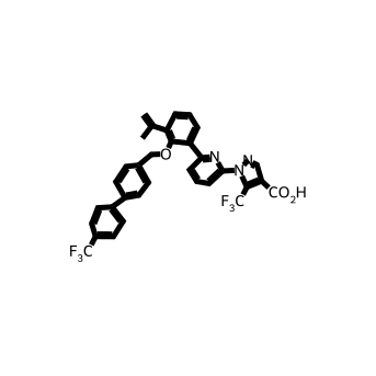 C=C(C)c1cccc(-c2cccc(-n3ncc(C(=O)O)c3C(F)(F)F)n2)c1OCc1ccc(-c2ccc(C(F)(F)F)cc2)cc1